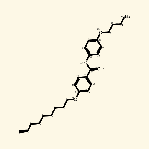 C=CCCCCCCCOc1ccc(C(=O)Oc2ccc(OCCCC(C)CC)cc2)cc1